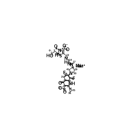 C[C@@H](O)[C@@H]1C(=O)N2C(C(=O)[O-])=C(CNC=NN(C)C3CCN(c4c(F)cc5c(=O)c(C(=O)[O-])c(C6CC6)[nH]c5c4F)C3)S[C@H]12.[Na+].[Na+]